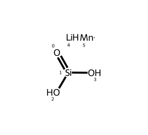 O=[Si](O)O.[LiH].[Mn]